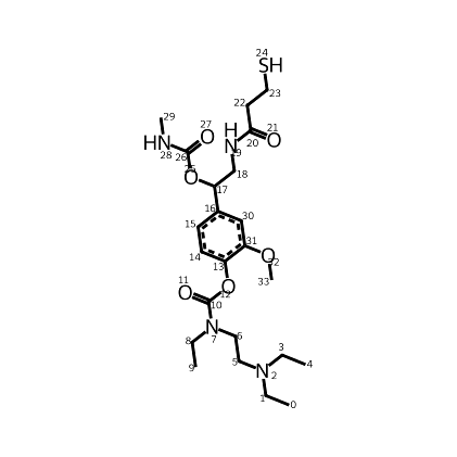 CCN(CC)CCN(CC)C(=O)Oc1ccc(C(CNC(=O)CCS)OC(=O)NC)cc1OC